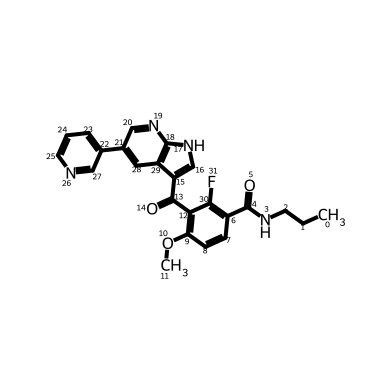 CCCNC(=O)c1ccc(OC)c(C(=O)c2c[nH]c3ncc(-c4cccnc4)cc23)c1F